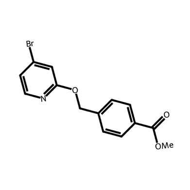 COC(=O)c1ccc(COc2cc(Br)ccn2)cc1